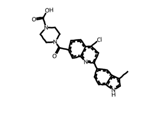 Cc1c[nH]c2ccc(-c3cc(Cl)c4ccc(C(=O)N5CCN(C(=O)O)CC5)cc4n3)cc12